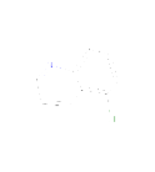 Clc1cccc2ncc[c]c12